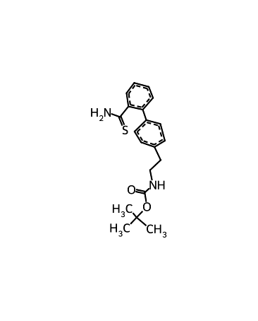 CC(C)(C)OC(=O)NCCc1ccc(-c2ccccc2C(N)=S)cc1